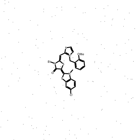 CCn1c(=O)/c(=C2\Sc3cc(Cl)ccc3N2C)s/c1=C\c1scc[n+]1Cc1ccccc1OC